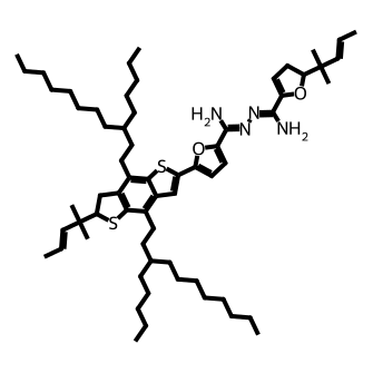 CC=CC(C)(C)C1CC=C(/C(N)=N/N=C(\N)c2ccc(-c3cc4c(CCC(CCCCC)CCCCCCCC)c5c(c(CCC(CCCCC)CCCCCCCC)c4s3)CC(C(C)(C)C=CC)S5)o2)O1